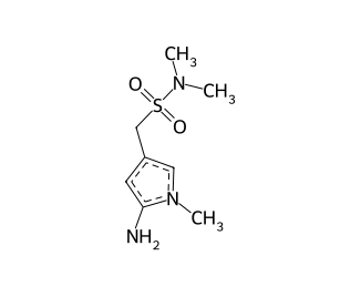 CN(C)S(=O)(=O)Cc1cc(N)n(C)c1